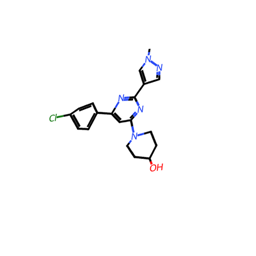 Cn1cc(-c2nc(-c3ccc(Cl)cc3)cc(N3CCC(O)CC3)n2)cn1